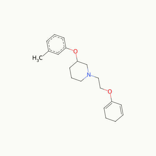 Cc1cccc(OC2CCCN(CCOC3=CCCC=C3)C2)c1